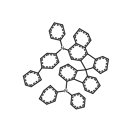 c1ccc(-c2ccc(N(c3ccccc3)c3cc4c(c5ccccc35)-c3ccccc3C43c4ccccc4-c4c(N(c5ccccc5)c5ccccc5)cccc43)cc2)cc1